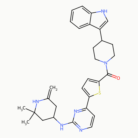 C=C1CC(Nc2nccc(-c3ccc(C(=O)N4CCC(c5c[nH]c6ccccc56)CC4)s3)n2)CC(C)(C)N1